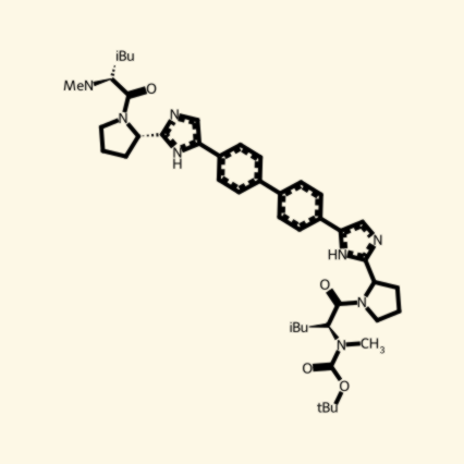 CC[C@@H](C)[C@H](NC)C(=O)N1CCC[C@H]1c1ncc(-c2ccc(-c3ccc(-c4cnc(C5CCCN5C(=O)[C@H]([C@H](C)CC)N(C)C(=O)OC(C)(C)C)[nH]4)cc3)cc2)[nH]1